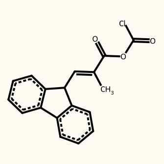 CC(=CC1c2ccccc2-c2ccccc21)C(=O)OC(=O)Cl